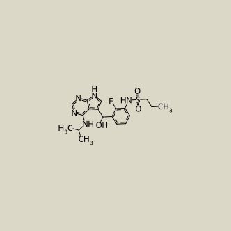 CCCS(=O)(=O)Nc1cccc(C(O)c2c[nH]c3ncnc(NC(C)C)c23)c1F